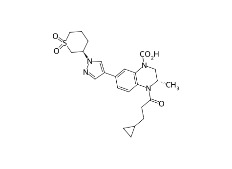 C[C@H]1CN(C(=O)O)c2cc(-c3cnn([C@@H]4CCCS(=O)(=O)C4)c3)ccc2N1C(=O)CCC1CC1